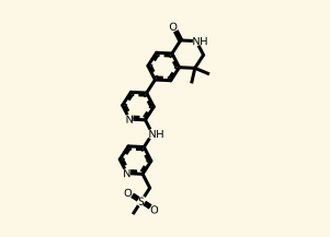 CC1(C)CNC(=O)c2ccc(-c3ccnc(Nc4ccnc(CS(C)(=O)=O)c4)c3)cc21